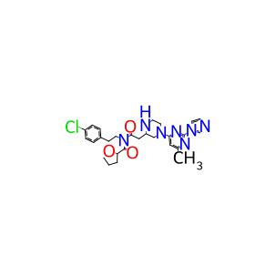 Cc1cc(N2CCNC(CC(=O)N(CCc3ccc(Cl)cc3)C(=O)C3CCCO3)C2)nc(-n2ccnc2)n1